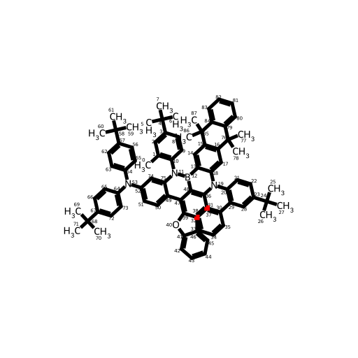 Cc1cc(C(C)(C)C)ccc1N1B2c3cc4c(cc3N(c3ccc(C(C)(C)C)cc3-c3ccccc3)c3cc5c(oc6ccccc65)c(c32)-c2ccc(N(c3ccc(C(C)(C)C)cc3)c3ccc(C(C)(C)C)cc3)cc21)C(C)(C)c1ccccc1C4(C)C